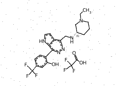 CCN1CCC[C@H](NCc2nnc(-c3ccc(C(F)(F)F)cc3O)c3[nH]ccc23)C1.O=C(O)C(F)(F)F